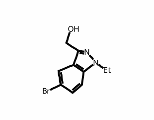 CCn1nc(CO)c2cc(Br)ccc21